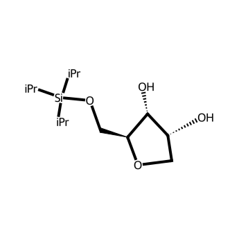 CC(C)[Si](OC[C@@H]1OC[C@@H](O)[C@H]1O)(C(C)C)C(C)C